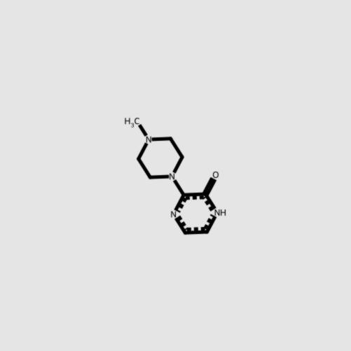 CN1CCN(c2ncc[nH]c2=O)CC1